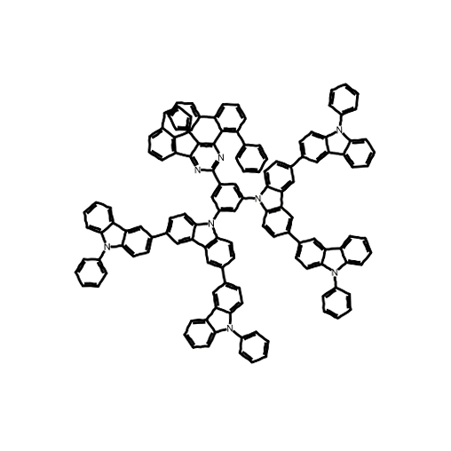 c1ccc(-c2cccc(-c3ccccc3)c2-c2nc(-c3cc(-n4c5ccc(-c6ccc7c(c6)c6ccccc6n7-c6ccccc6)cc5c5cc(-c6ccc7c(c6)c6ccccc6n7-c6ccccc6)ccc54)cc(-n4c5ccc(-c6ccc7c(c6)c6ccccc6n7-c6ccccc6)cc5c5cc(-c6ccc7c(c6)c6ccccc6n7-c6ccccc6)ccc54)c3)nc3c2-c2cccc4cccc-3c24)cc1